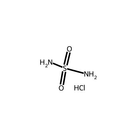 Cl.NS(N)(=O)=O